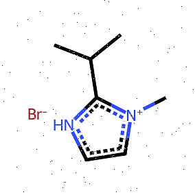 CC(C)c1[nH]cc[n+]1C.[Br-]